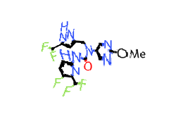 COc1ncc(N(Cc2cc(C(F)F)[nH]n2)C(=O)Nc2ccc(F)c(C(F)F)n2)cn1